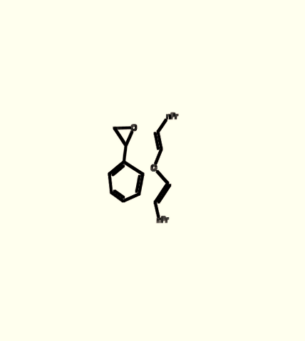 CCCC=COC=CCCC.c1ccc(C2CO2)cc1